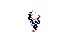 C=CC(=O)N1CCCC1Cn1c(NC(=O)c2ccc(-c3cnc(C)o3)s2)nc2cc(CO)ccc21